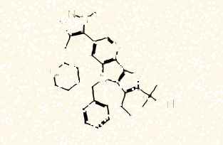 CCc1c(C(C)(C)O)sc2c3ncc(-c4c(C)nnn4C)cc3n([C@H](c3ccccc3)C3CCOCC3)c12